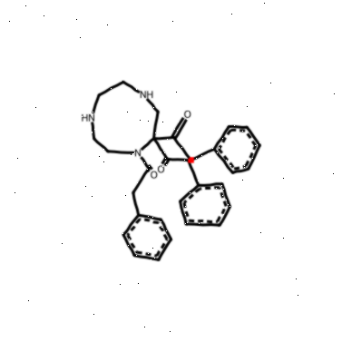 O=C(Cc1ccccc1)N1CCNCCNCC1(C(=O)Cc1ccccc1)C(=O)Cc1ccccc1